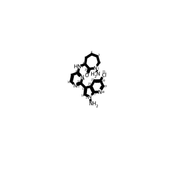 NN1CCCCC(Nc2ccnc(-c3cn(N)c4ncc(Cl)cc34)n2)C1=O